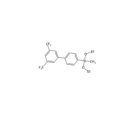 CCO[Si](C)(OCC)c1ccc(-c2cc(C(F)(F)F)cc(C(F)(F)F)c2)cc1